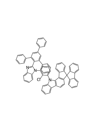 Clc1c(-n2c(-c3c(-c4ccccc4)cc(-c4ccccc4)cc3-c3ccccc3)nc3ccccc32)cccc1-n1c2ccccc2c2ccc3c(c21)-c1ccccc1C31c2ccccc2-c2ccccc21